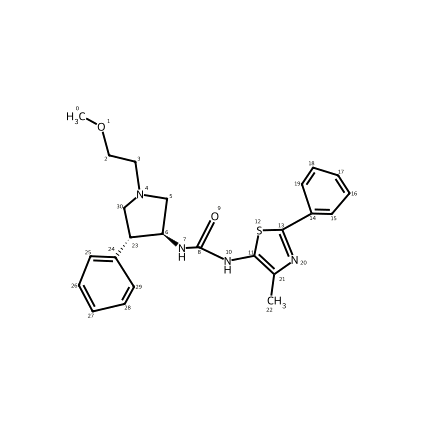 COCCN1C[C@@H](NC(=O)Nc2sc(-c3ccccc3)nc2C)[C@H](c2ccccc2)C1